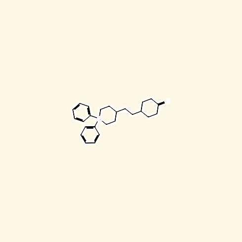 O=C1CCC(CCC2CC[Si](c3ccccc3)(c3ccccc3)CC2)CC1